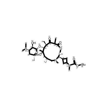 CO[C@]1(C)C[C@@H](C)CN(C)[C@H](C2CC(N(C)C(=O)OC(C)(C)C)C2)COC(=O)C(C)C(=O)[C@H](C)[C@H]1O[C@@H]1O[C@H](C)C[C@H](N(C)C)[C@H]1O